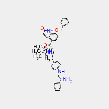 CC(C)(C)[Si](C)(C)O[C@@H](CNCCc1ccc(NCC(N)c2ccccc2)cc1)c1ccc(OCc2ccccc2)c2[nH]c(=O)ccc12